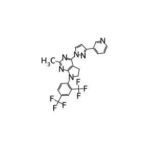 Cc1nc2c(c(-n3ccc(-c4cccnc4)n3)n1)CCN2c1ccc(C(F)(F)F)cc1C(F)(F)F